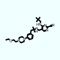 CCOCCN1CCN(c2cccc(CC(C)(C)NCc3cnc(C#N)nc3NCC(C)(C)C)c2)CC1